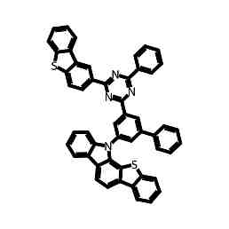 c1ccc(-c2cc(-c3nc(-c4ccccc4)nc(-c4ccc5sc6ccccc6c5c4)n3)cc(-n3c4ccccc4c4ccc5c6ccccc6sc5c43)c2)cc1